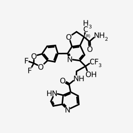 C[C@]1(C(N)=O)COc2c1cc(C(O)(CNC(=O)c1ccnc3cc[nH]c13)C(F)(F)F)nc2-c1ccc2c(c1)OC(F)(F)O2